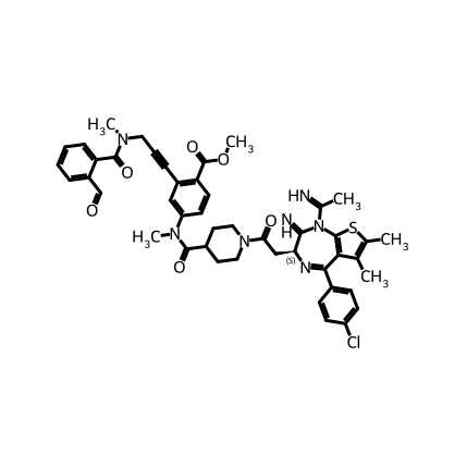 COC(=O)c1ccc(N(C)C(=O)C2CCN(C(=O)C[C@@H]3N=C(c4ccc(Cl)cc4)c4c(sc(C)c4C)N(C(C)=N)C3=N)CC2)cc1C#CCN(C)C(=O)c1ccccc1C=O